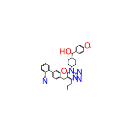 CCCc1c(Cc2ccc(-c3ccccc3C#N)cc2)c(=O)n([C@H]2CC[C@H](C(O)c3ccc(OC)cc3)CC2)c2ncnn12